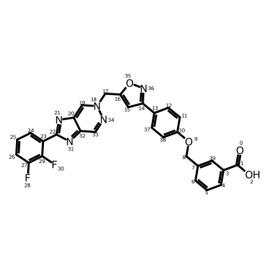 O=C(O)c1cccc(COc2ccc(-c3cc(Cn4cc5nc(-c6cccc(F)c6F)nc-5cn4)on3)cc2)c1